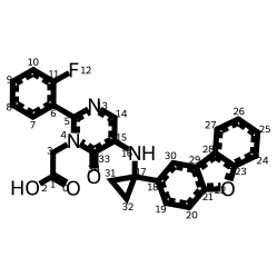 O=C(O)Cn1c(-c2ccccc2F)ncc(NC2(c3ccc4oc5ccccc5c4c3)CC2)c1=O